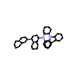 c1ccc(N(c2ccccc2-n2c3ccccc3c3ccccc32)c2ccc(-c3ccc4ccccc4c3)c3ccccc23)cc1